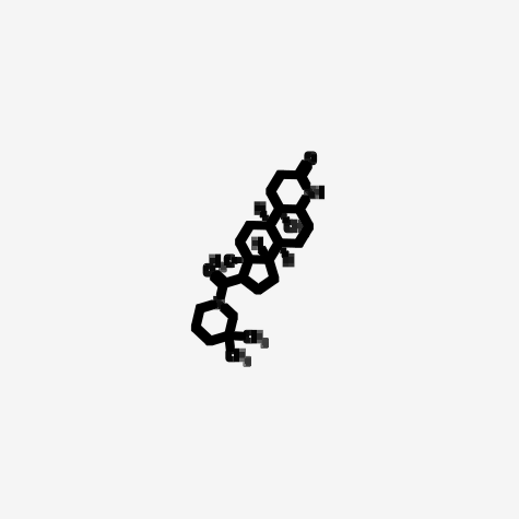 CC1(C)CCCN(C(=O)C2CC[C@H]3[C@@H]4CCC5NC(=O)CC[C@]5(C)[C@@H]4CC[C@]23C)C1